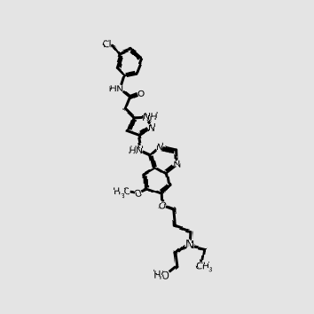 CCN(CCO)CCCOc1cc2ncnc(Nc3cc(CC(=O)Nc4cccc(Cl)c4)[nH]n3)c2cc1OC